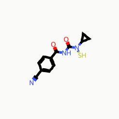 N#Cc1ccc(C(=O)NC(=O)N(S)C2CC2)cc1